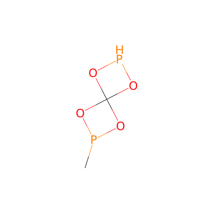 CP1OC2(OPO2)O1